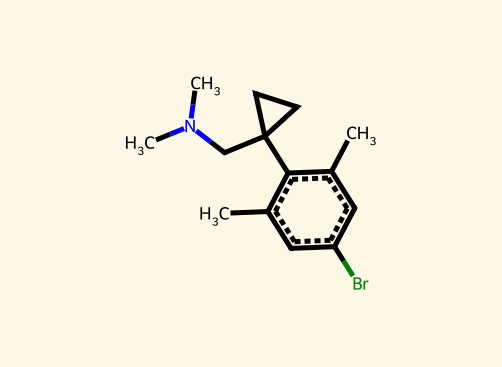 Cc1cc(Br)cc(C)c1C1(CN(C)C)CC1